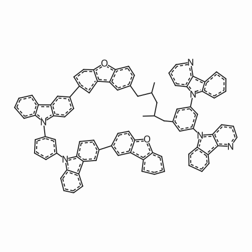 CC(Cc1cc(-n2c3ccccc3c3ncccc32)cc(-n2c3ccccc3c3ncccc32)c1)CC(C)Cc1ccc2oc3ccc(-c4ccc5c(c4)c4ccccc4n5-c4cccc(-n5c6ccccc6c6cc(-c7ccc8oc9ccccc9c8c7)ccc65)c4)cc3c2c1